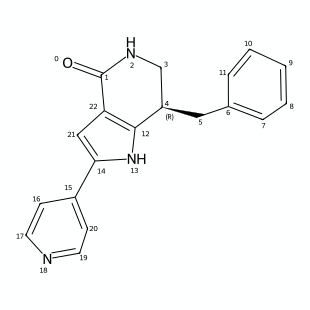 O=C1NC[C@@H](Cc2ccccc2)c2[nH]c(-c3ccncc3)cc21